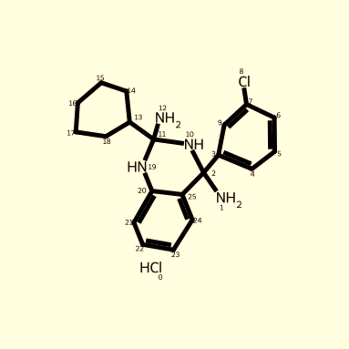 Cl.NC1(c2cccc(Cl)c2)NC(N)(C2CCCCC2)Nc2ccccc21